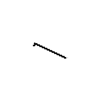 [CH2]CCCCCCCCCCCCCCCCCCCCCCCCC(C)CC